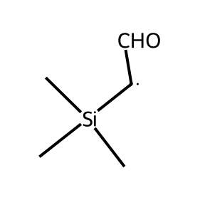 C[Si](C)(C)[CH]C=O